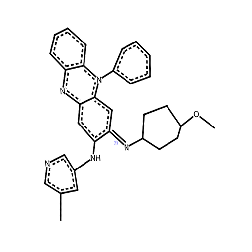 COC1CCC(/N=c2\cc3n(-c4ccccc4)c4ccccc4nc-3cc2Nc2cncc(C)c2)CC1